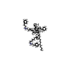 CCCCCCCCCCC[C@@H](CC(=O)N[C@H]1[C@H](OCc2ccccc2)O[C@H](CO)[C@@H](O)[C@@H]1OC(=O)CCCCC/C=C\CCc1ccccc1)OC(=O)CCCCC/C=C\CCc1ccccc1